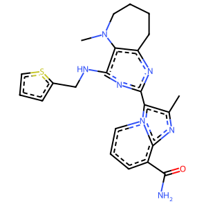 Cc1nc2c(C(N)=O)cccn2c1-c1nc2c(c(NCc3cccs3)n1)N(C)CCCC2